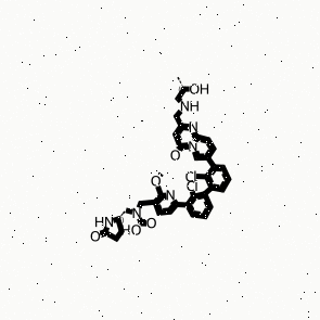 COc1nc(-c2cccc(-c3cccc(-c4ccc5nc(CNC[C@H](C)O)cc(=O)n5c4)c3Cl)c2Cl)ccc1CN(C[C@@H]1CCC(=O)N1)C(=O)O